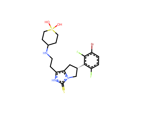 OS1(O)CCC(NCCc2[nH]c(=S)n3c2C[C@H](c2c(F)ccc(Br)c2F)C3)CC1